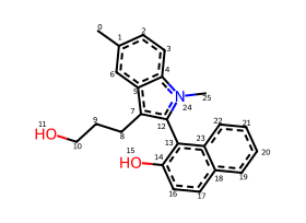 Cc1ccc2c(c1)c(CCCO)c(-c1c(O)ccc3ccccc13)n2C